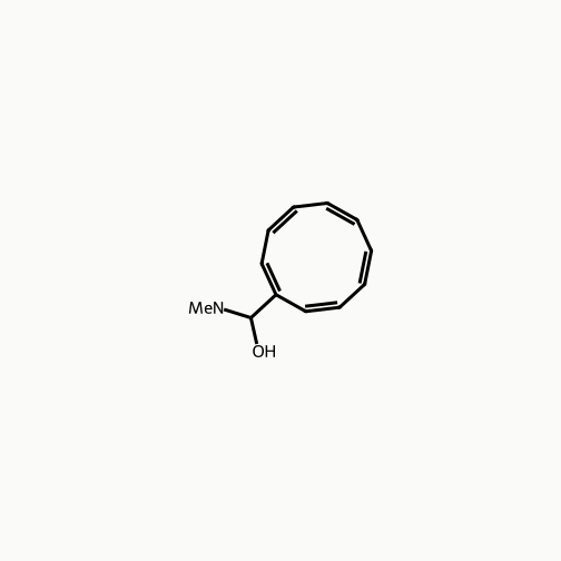 CNC(O)c1ccccccccc1